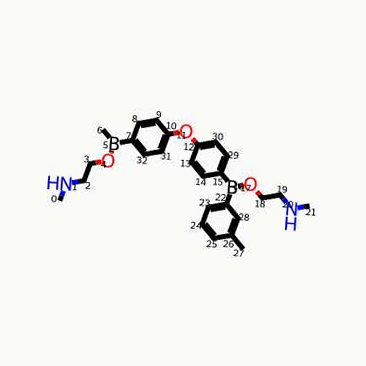 CNCCOB(C)c1ccc(Oc2ccc(B(OCCNC)c3cccc(C)c3)cc2)cc1